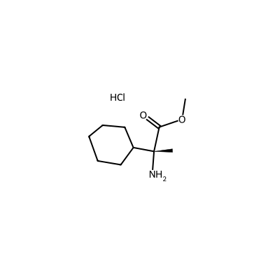 COC(=O)[C@](C)(N)C1CCCCC1.Cl